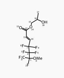 COC(F)(C(F)(F)F)C(F)(F)C(F)(F)C=CC(=O)OCC(C)O